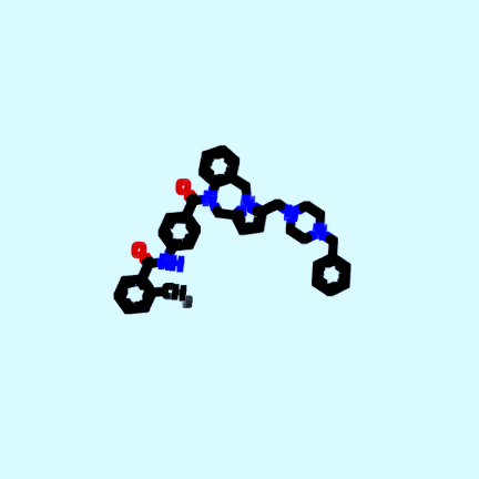 Cc1ccccc1C(=O)Nc1ccc(C(=O)N2Cc3ccc(CN4CCN(Cc5ccccc5)CC4)n3Cc3ccccc32)cc1